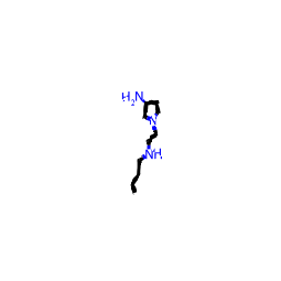 CCCCNCCN1CC[C@H](N)C1